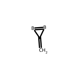 C=C1B=B1